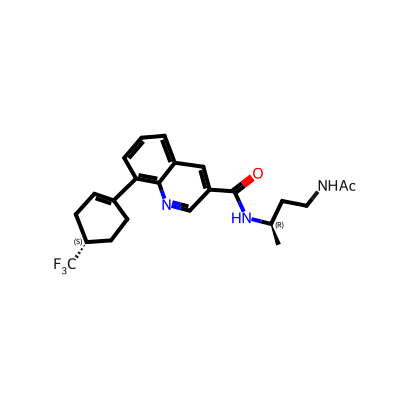 CC(=O)NCC[C@@H](C)NC(=O)c1cnc2c(C3=CC[C@@H](C(F)(F)F)CC3)cccc2c1